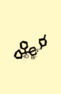 Cc1ccc(C[N+]23CCC(C(O)(c4ccccc4)c4ccccc4)(CC2)CC3)cc1.[Br-]